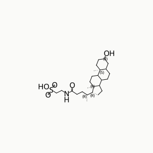 C[C@H](CCC(=O)NCCS(=O)(=O)O)[C@H]1CCC2C3CCC4C[C@H](O)CC[C@]4(C)C3CC[C@@]21C